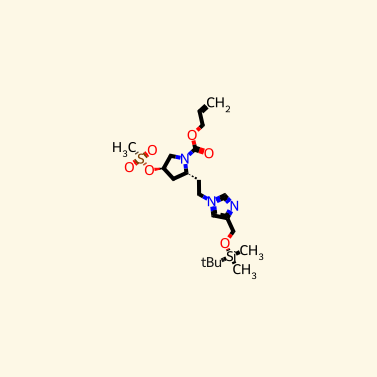 C=CCOC(=O)N1C[C@H](OS(C)(=O)=O)C[C@H]1CCn1cnc(CO[Si](C)(C)C(C)(C)C)c1